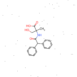 CC(CO)(NC(=O)C(c1ccccc1)c1ccccc1)C(=O)O